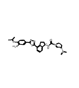 CC(C)Oc1ccc(-c2nnc(-c3cccc4c3CC[C@@H]4NC(=O)N3CC[C@H](N(C)C)C3)s2)cc1N